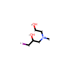 CN(CCO)CC(O)CI